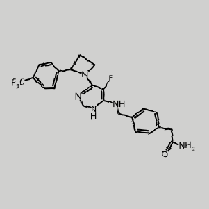 NC(=O)Cc1ccc(CNC2=C(F)C(N3CCC3c3ccc(C(F)(F)F)cc3)=NCN2)cc1